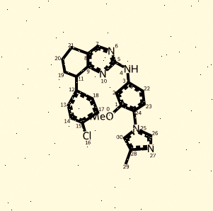 COc1cc(Nc2ncc3c(n2)C(c2ccc(Cl)cc2)CCC3)ccc1-n1cnc(C)c1